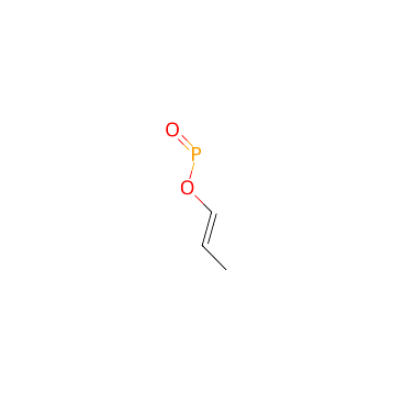 CC=COP=O